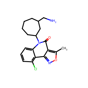 Cc1onc2c1c(=O)n(C1CCCCC(CN)C1)c1cccc(Cl)c21